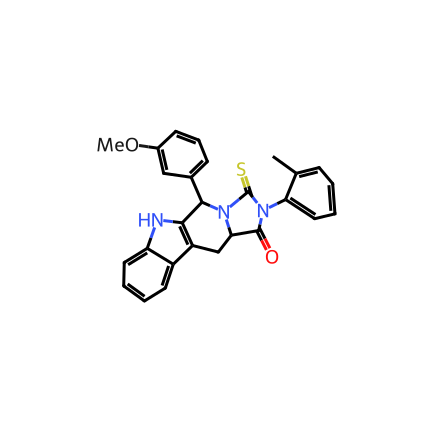 COc1cccc(C2c3[nH]c4ccccc4c3CC3C(=O)N(c4ccccc4C)C(=S)N32)c1